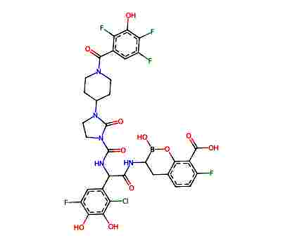 O=C(O)c1c(F)ccc2c1OB(O)C(NC(=O)C(NC(=O)N1CCN(C3CCN(C(=O)c4cc(F)c(F)c(O)c4F)CC3)C1=O)c1cc(F)c(O)c(O)c1Cl)C2